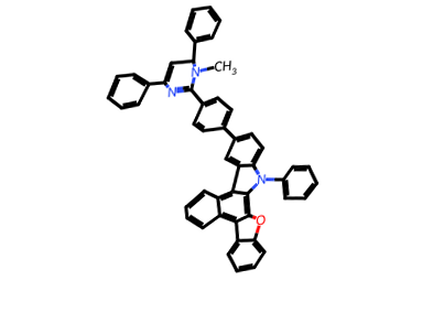 CN1C(c2ccc(-c3ccc4c(c3)c3c5ccccc5c5c6ccccc6oc5c3n4-c3ccccc3)cc2)=NC(c2ccccc2)=CC1c1ccccc1